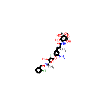 C/C(=C\c1ccc(O[C@@H]2O[C@H](/C(C)=N/OCc3ccccc3Cl)[C@@H](O)[C@@H]2F)c(N)c1)C(=O)N[C@@H]1[C@H](O)[C@@H](O)[C@H]2OCO[C@H]2[C@@H]1O